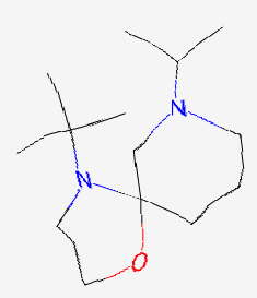 CC(C)N1CCCC2(C1)OCCN2C(C)(C)C